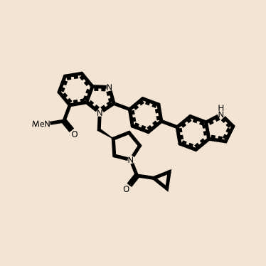 CNC(=O)c1cccc2nc(-c3ccc(-c4ccc5cc[nH]c5c4)cc3)n(C[C@H]3CCN(C(=O)C4CC4)C3)c12